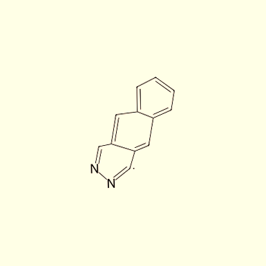 [c]1nncc2cc3ccccc3cc12